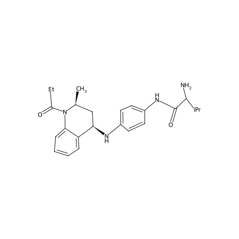 CCC(=O)N1c2ccccc2[C@H](Nc2ccc(NC(=O)C(N)C(C)C)cc2)C[C@@H]1C